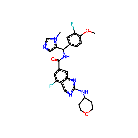 COc1ccc(C(NC(=O)c2cc(F)c3cnc(NC4CCOCC4)nc3c2)c2cncn2C)cc1F